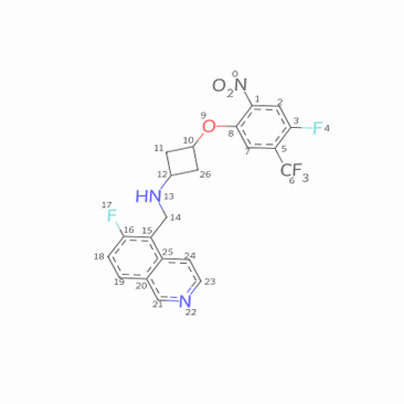 O=[N+]([O-])c1cc(F)c(C(F)(F)F)cc1OC1CC(NCc2c(F)ccc3cnccc23)C1